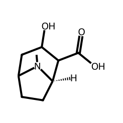 CN1C2CC[C@@H]1C(C(=O)O)C(O)C2